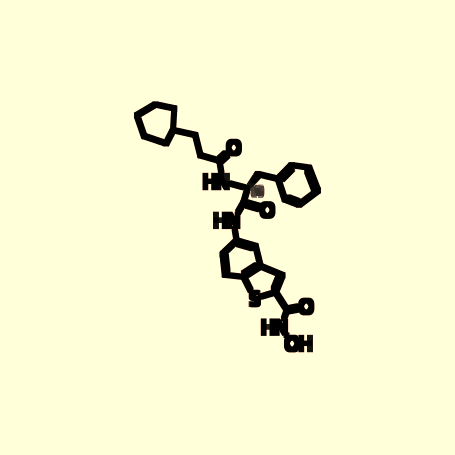 O=C(CCC1CCCCC1)N[C@@H](Cc1ccccc1)C(=O)Nc1ccc2sc(C(=O)NO)cc2c1